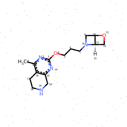 Cc1nc(OCCCN2CC3OC[C@H]32)nc2c1CCNC2